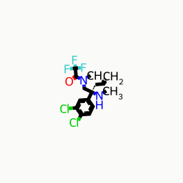 C=CC[C@](CN(C)C(=O)C(F)(F)F)(NC)c1ccc(Cl)c(Cl)c1